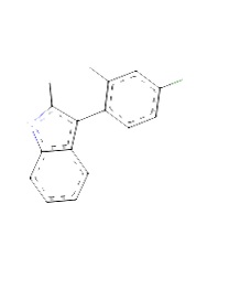 CCOC(=O)c1[nH]c2ccccc2c1-c1ccc(F)cc1C=O